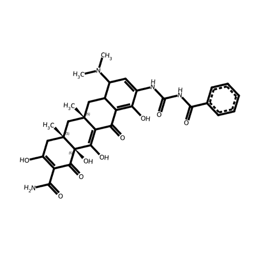 CN(C)C1C=C(NC(=O)NC(=O)c2ccccc2)C(O)=C2C(=O)C3=C(O)[C@]4(O)C(=O)C(C(N)=O)=C(O)C[C@]4(C)C[C@]3(C)CC21